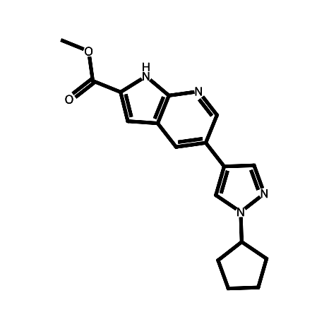 COC(=O)c1cc2cc(-c3cnn(C4CCCC4)c3)cnc2[nH]1